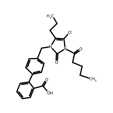 CCCCC(=O)n1c(Cl)c(CCC)n(Cc2ccc(-c3ccccc3C(=O)O)cc2)c1=O